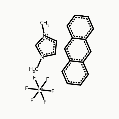 Cn1cc[n+](C)c1.F[P-](F)(F)(F)(F)F.c1ccc2cc3ccccc3cc2c1